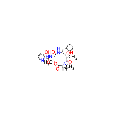 CC(C)C1C(=O)O[C@H](C)[C@H](NC(=O)c2ncccc2O)C(=O)N[C@@H](Cc2ccccc2)[C@@H](O)[C@@H](C)C(=O)N1C